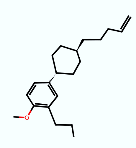 C=CCCC[C@H]1CC[C@H](c2ccc(OC)c(CCC)c2)CC1